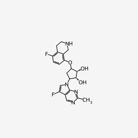 Cc1ncc2c(F)cn(C3CC(Oc4ccc(F)c5c4CNCC5)[C@@H](O)[C@H]3O)c2n1